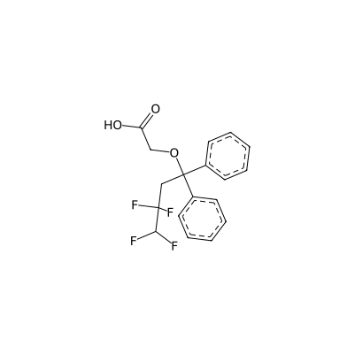 O=C(O)COC(CC(F)(F)C(F)F)(c1ccccc1)c1ccccc1